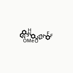 COc1cc(NSc2cccc3cccnc23)ccc1C(=O)N1CCN(Cc2cccc(F)c2F)CC1